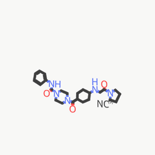 N#C[C@@H]1CCCN1C(=O)CNC1CCC(C(=O)N2CCN(C(=O)Nc3ccccc3)CC2)CC1